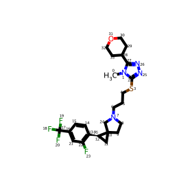 Cn1c(SCCCN2CCC3(C[C@H]3c3ccc(C(F)(F)F)cc3F)C2)nnc1C1CCOCC1